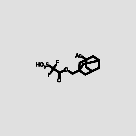 CC(=O)C12CC3CC(CC(COC(=O)C(F)(F)S(=O)(=O)O)(C3)C1)C2